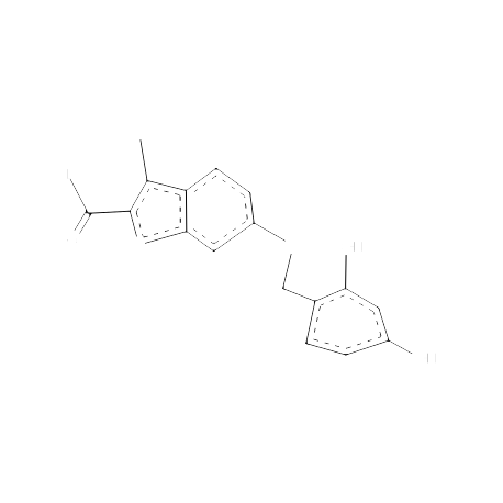 Cc1c(C(=O)I)sc2cc(OCc3ccc(O)cc3O)ccc12